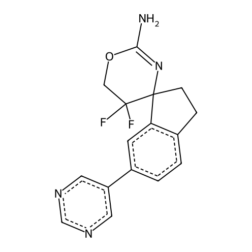 NC1=NC2(CCc3ccc(-c4cncnc4)cc32)C(F)(F)CO1